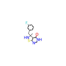 CC1(Cc2cccc(F)c2)NSc2nc[nH]c(=O)c21